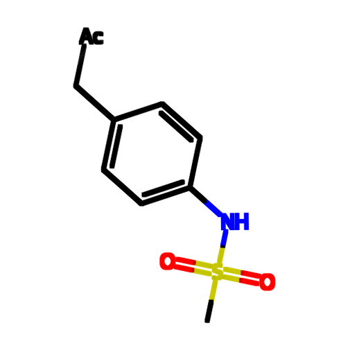 CC(=O)Cc1ccc(NS(C)(=O)=O)cc1